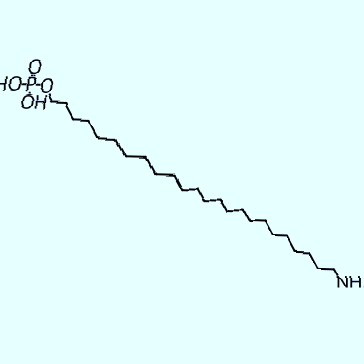 NCCCCCCCCCCCCCCCCCCCCCCCCOP(=O)(O)O